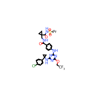 CC(C)S(=O)(=O)NC(=O)C1(CNC(=O)c2ccc(Nc3nc(NC4(c5ccc(Cl)cc5)CC4)nc(OCC(F)(F)F)n3)cc2)CC1